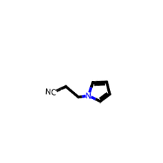 N#CCCn1[c]ccc1